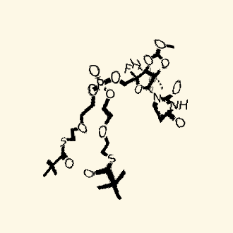 COC1O[C@H]2[C@@](C)(O1)[C@H](n1ccc(=O)[nH]c1=O)O[C@]2(F)COP(=O)(OCCOCCSC(=O)C(C)(C)C)OCCOCCSC(=O)C(C)(C)C